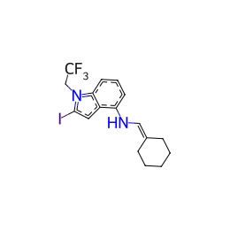 FC(F)(F)Cn1c(I)cc2c(NC=C3CCCCC3)cccc21